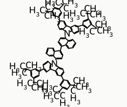 CC(C)(C)c1cc(-c2ccc3c(c2)c2cc(-c4cc(C(C)(C)C)cc(C(C)(C)C)c4)ccc2n3-c2ccc(-c3ccc(-n4c5ccc(-c6cc(C(C)(C)C)cc(C(C)(C)C)c6)cc5c5cc(-c6cc(C(C)(C)C)cc(C(C)(C)C)c6)ccc54)c4ccccc34)c3ccccc23)cc(C(C)(C)C)c1